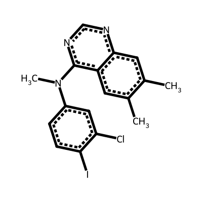 Cc1cc2ncnc(N(C)c3ccc(I)c(Cl)c3)c2cc1C